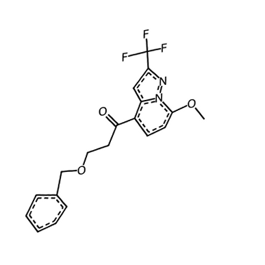 COc1ccc(C(=O)CCOCc2ccccc2)c2cc(C(F)(F)F)nn12